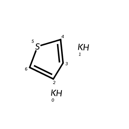 [KH].[KH].c1ccsc1